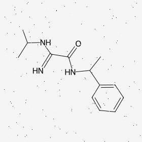 CC(C)NC(=N)C(=O)NC(C)c1ccccc1